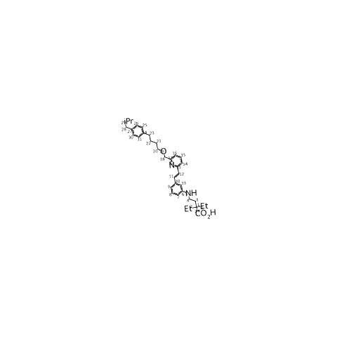 CCC(CC)(CCNc1cccc(C=Cc2cccc(COCCCCc3ccc(CC(C)C)cc3)n2)c1)C(=O)O